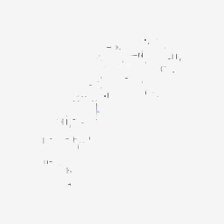 C=C(/C=c1/[nH]c(C(=O)/C=C(\N)N(/N=C\C)/C(C)=C(/C)F)c/c1=C/COC(F)P)CCCN(CCC)C(C)=O